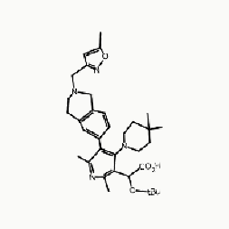 Cc1cc(CN2CCc3cc(-c4c(C)nc(C)c(C(OC(C)(C)C)C(=O)O)c4N4CCC(C)(C)CC4)ccc3C2)no1